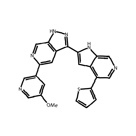 COc1cncc(-c2cc3c(-c4cc5c(-c6cccs6)cncc5[nH]4)n[nH]c3cn2)c1